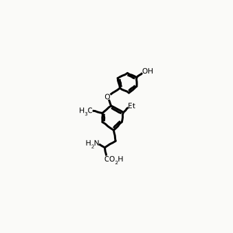 CCc1cc(CC(N)C(=O)O)cc(C)c1Oc1ccc(O)cc1